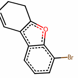 Brc1cccc2c3c(oc12)CCC=C3